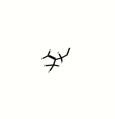 CCC(F)(F)C(=C(F)F)C(F)(F)F